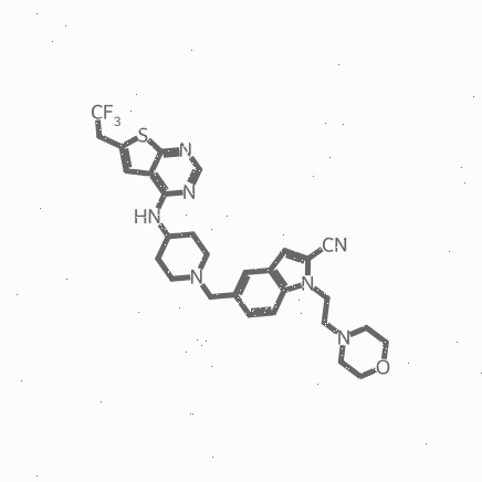 N#Cc1cc2cc(CN3CCC(Nc4ncnc5sc(CC(F)(F)F)cc45)CC3)ccc2n1CCN1CCOCC1